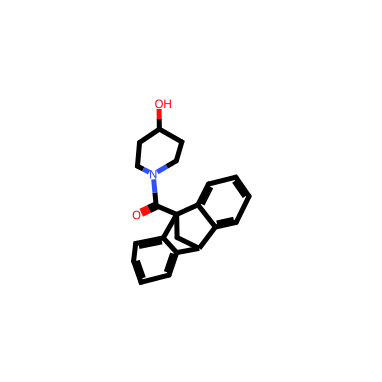 O=C(N1CCC(O)CC1)C12CC(c3ccccc31)c1ccccc12